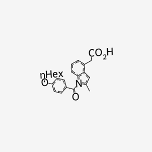 CCCCCCOc1ccc(C(=O)n2c(C)cc3c(CC(=O)O)cccc32)cc1